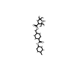 CC1CCC(OC(=O)C2CCC(COC(=O)C3CC(C)(C)NC3(C)C)CC2)CC1